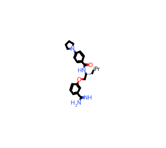 CC(C)C[C@H](COc1cccc(C(=N)N)c1)NC(=O)c1ccc(N2CCCC2)cc1